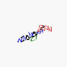 CN1CCN(c2ccc(-c3nc4cc(OC5COC6C(O)COC56)[nH]c4cc3Cl)cc2)CC1